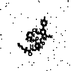 C=CCCC(C)(C)C(=O)NC[C@@]12C[C@@H](C(=O)Nc3nc(C(F)(F)F)ccc3C)N(C(=O)Cn3nc(C(C)=O)c4cc(-c5cnc(C)nc5)cc(CC=C)c43)[C@@H]1C2